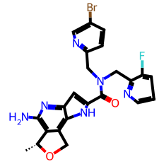 C[C@H]1OCc2c1c(N)nc1cc(C(=O)N(Cc3ccc(Br)cn3)Cc3ncccc3F)[nH]c21